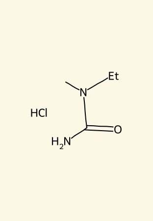 CCN(C)C(N)=O.Cl